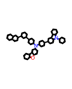 c1ccc(-n2c3ccccc3c3cc(-c4ccc(N(c5ccc(-c6cccc(-c7ccc8ccccc8c7)c6)cc5)c5ccc6oc7ccccc7c6c5)cc4)ccc32)cc1